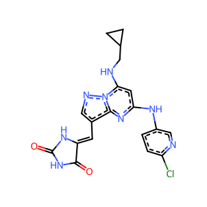 O=C1NC(=O)/C(=C/c2cnn3c(NCC4CC4)cc(Nc4ccc(Cl)nc4)nc23)N1